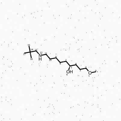 [CH2]OCCC[C@@H](O)CCCCCNCC(C)(C)C